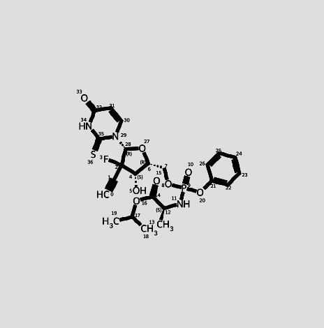 C#CC1(F)[C@@H](O)[C@@H](COP(=O)(N[C@@H](C)C(=O)OC(C)C)Oc2ccccc2)O[C@H]1n1ccc(=O)[nH]c1=S